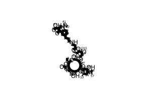 CC[C@H]1OC(=O)[C@H](C)[C@@H](O[C@H]2C[C@@](C)(OC)[C@@H](OC(=O)CCNCCCc3ccc4c(c3)c(=O)c(C(=O)O)cn4N(C)C)[C@H](C)O2)[C@H](C)[C@@H](O[C@@H]2O[C@H](C)C[C@H](N(C)C)[C@H]2O)[C@](C)(O)C[C@@H](C)/C(=N\O)C(C)[C@H]2OC(=O)O[C@@]21C